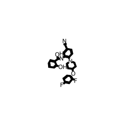 N#Cc1ccc(N2CCC(Oc3ccc(F)cc3F)CC2)c(NC(=O)c2ccccc2O)c1